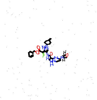 C=C1CCC(n2cc(NC(=O)C3=C4N=C(N5C[C@H]6C[C@@H]5CO6)C=CN4NC3)c(C(F)C(=O)OCc3ccccc3)n2)CC1